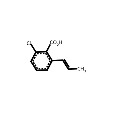 CC=Cc1cccc(Cl)c1C(=O)O